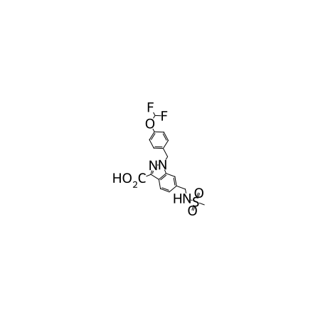 CS(=O)(=O)NCc1ccc2c(C(=O)O)nn(Cc3ccc(OC(F)F)cc3)c2c1